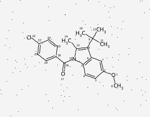 COc1ccc2c(c1)c(C(C)(C)C)c(C)n2C(=O)c1ccc(Cl)cc1